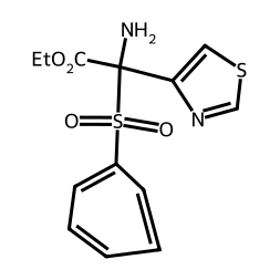 CCOC(=O)C(N)(c1cscn1)S(=O)(=O)c1ccccc1